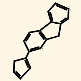 [c]1c(C2=CC=CC2)ccc2c1Cc1ccccc1-2